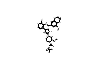 COc1cc(COc2c(Cl)cccc2-c2csc(N3CC[C@H](C(=O)OC(C)(C)C)[C@H](OC)C3)n2)cc2c1CNCC2